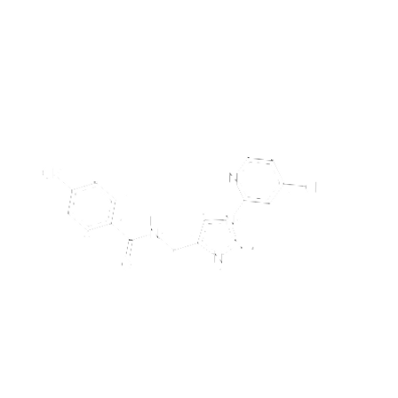 O=C(NCc1cn(-c2cc(Cl)ccn2)nn1)c1ccc(Cl)cc1